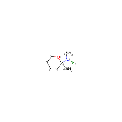 FN([SiH3])C1([SiH3])CCCCO1